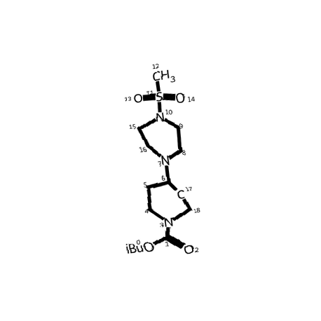 CC(C)COC(=O)N1CCC(N2CCN(S(C)(=O)=O)CC2)CC1